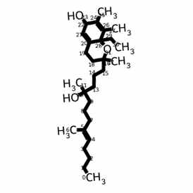 CCCC/C=C(\C)CCCC(C)(O)CCCC1(C)CCC2=CC(O)C(C)=C(C)C2(CC)O1